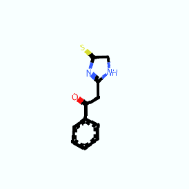 O=C(CC1=NC(=S)CN1)c1ccccc1